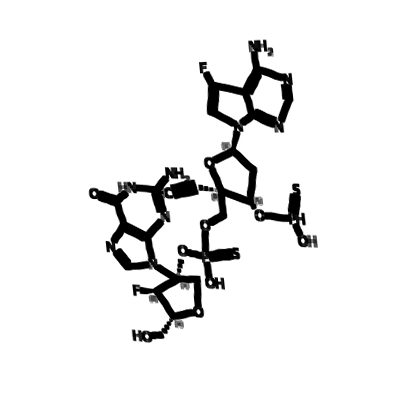 C#C[C@]1(COP(O)(=S)O[C@]2(n3cnc4c(=O)[nH]c(N)nc43)CO[C@H](CO)[C@H]2F)O[C@@H](n2cc(F)c3c(N)ncnc32)C[C@@H]1O[PH](O)=S